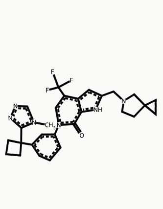 Cn1cnnc1C1(c2cccc(-n3cc(C(F)(F)F)c4cc(CN5CCC6(CC6)C5)[nH]c4c3=O)c2)CCC1